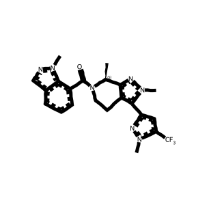 C[C@H]1c2nn(C)c(-c3cc(C(F)(F)F)n(C)n3)c2CCN1C(=O)c1cccc2cnn(C)c12